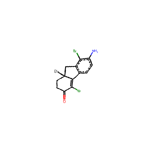 CCC12CCC(=O)C(Br)=C1c1ccc(N)c(Br)c1C2